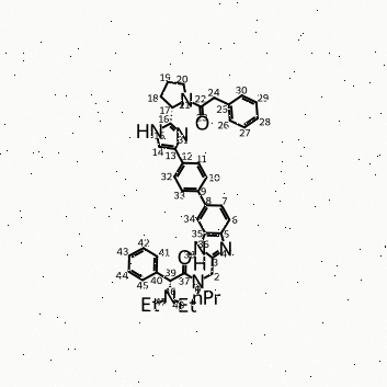 CCCN(Cc1nc2ccc(-c3ccc(-c4c[nH]c([C@@H]5CCCN5C(=O)Cc5ccccc5)n4)cc3)cc2[nH]1)C(=O)[C@@H](c1ccccc1)N(CC)CC